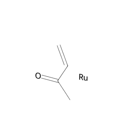 C=CC(C)=O.[Ru]